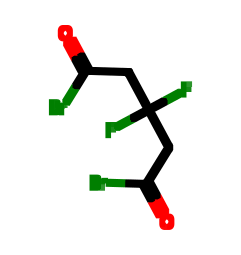 O=C(Br)CC(F)(F)CC(=O)Br